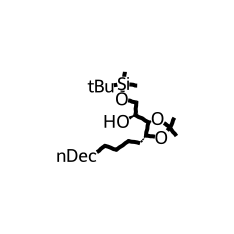 CCCCCCCCCCCCCC[C@H]1OC(C)(C)O[C@H]1[C@@H](O)CO[Si](C)(C)C(C)(C)C